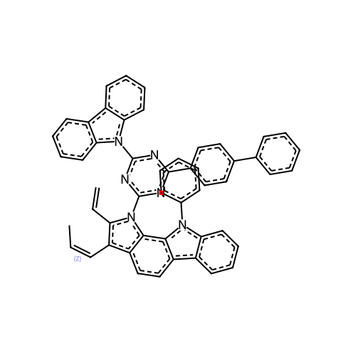 C=Cc1c(/C=C\C)c2ccc3c4ccccc4n(-c4ccccc4)c3c2n1-c1nc(-c2ccc(-c3ccccc3)cc2)nc(-n2c3ccccc3c3ccccc32)n1